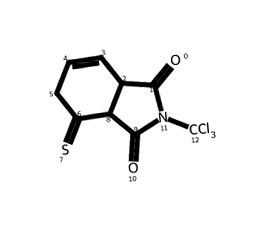 O=C1C2C=CCC(=S)C2C(=O)N1C(Cl)(Cl)Cl